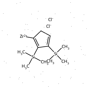 C[Si](C)(C)C1=CC[C]([Zr+2])=C1[Si](C)(C)C.[Cl-].[Cl-]